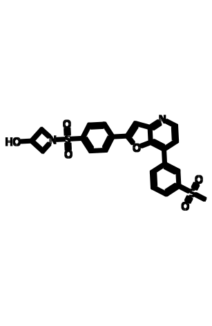 CS(=O)(=O)c1cccc(-c2ccnc3cc(-c4ccc(S(=O)(=O)N5CC(O)C5)cc4)oc23)c1